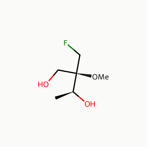 CO[C@@](CO)(CF)[C@H](C)O